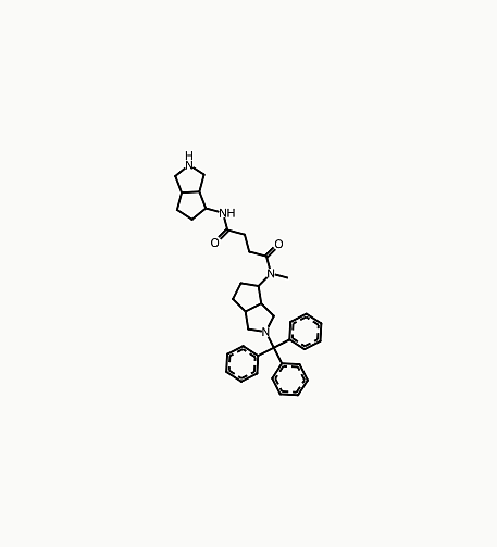 CN(C(=O)CCC(=O)NC1CCC2CNCC21)C1CCC2CN(C(c3ccccc3)(c3ccccc3)c3ccccc3)CC21